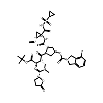 C=C[C@@H]1C[C@]1(NC(=O)[C@@H]1C[C@@H](OC(=O)N2Cc3cccc(F)c3C2)CN1C(=O)[C@H](CN(C)C(=O)[C@H]1CCC(=O)O1)NC(=O)OC(C)(C)C)C(=O)NS(=O)(=O)C1CC1